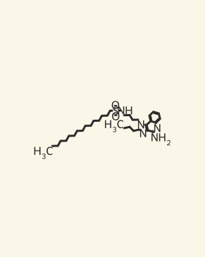 CCCCCCCCCCCCCCCCS(=O)(=O)NCCCCn1c(CCCC)nc2c(N)nc3ccccc3c21